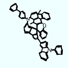 CC1C2=C3C(C)C4=C1C(C)(c1ccccc1)C=CC4(C)N(c1ccc(-c4ccccc4)cc1)c1ccc4c(c1)C3(c1ccccc1O2)c1cc(-c2ccc3c(c2)c2ccccc2n3-c2ccccc2)ccc1-4